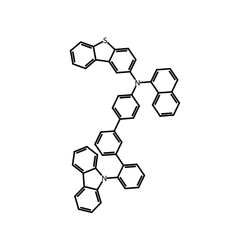 c1cc(-c2ccc(N(c3ccc4sc5ccccc5c4c3)c3cccc4ccccc34)cc2)cc(-c2ccccc2-n2c3ccccc3c3ccccc32)c1